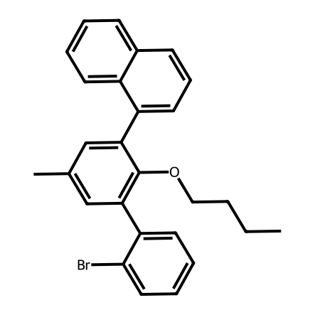 CCCCOc1c(-c2ccccc2Br)cc(C)cc1-c1cccc2ccccc12